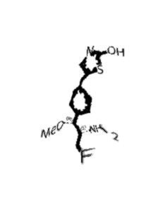 CO[C@H](c1ccc(-c2cnc(O)s2)cc1)[C@H](N)CF